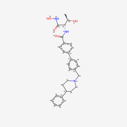 C[C@@H](O)[C@H](NC(=O)c1ccc(-c2ccc(CN3CCC(c4ccccc4)CC3)cc2)cc1)C(=O)NO